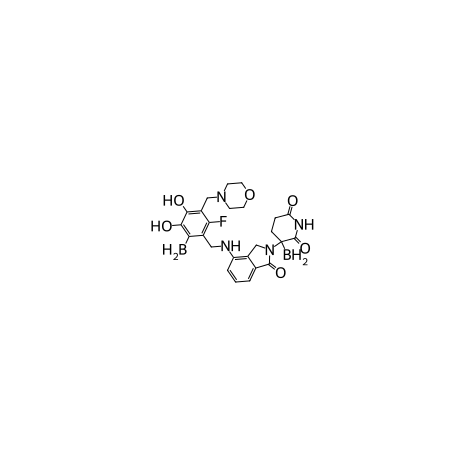 Bc1c(O)c(O)c(CN2CCOCC2)c(F)c1CNc1cccc2c1CN(C1(B)CCC(=O)NC1=O)C2=O